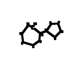 C1CCCC(C2CCCC2)CC1